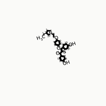 CC[C@H]1CCN(CCOc2ccc(Oc3c(C(=O)c4ccc(O)cc4)sc4cc(O)ccc34)cc2)C1